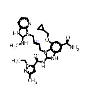 CCn1nc(C)cc1C(=O)NC1Nc2cc(C(N)=O)cc(OCC3CC3)c2N1C/C=C/CN1c2ncccc2NC1NC